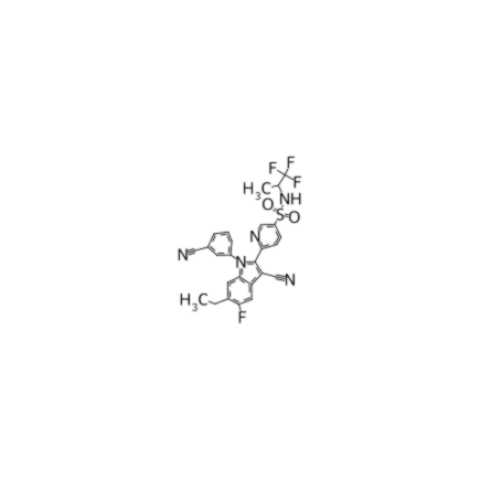 CCc1cc2c(cc1F)c(C#N)c(-c1ccc(S(=O)(=O)NC(C)C(F)(F)F)cn1)n2-c1cccc(C#N)c1